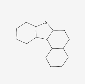 C1CCC2C(C1)CCC1SC3CCCCC3C12